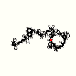 COc1cc2cc(c1Cl)N(C)C(=O)C[C@H](OC(=O)[C@H](C)N(C)C(=O)CCSSC(C)(C)CC(=O)N/N=C1/CCCc3cc(NC(=O)CCCCCN4C(=O)C=CC4=O)ccc31)C(C)(O)C[C@H](C)[C@@H]1C[C@@](O)(NC(=O)O1)[C@H](OC)/C=C/C=C(\C)C2